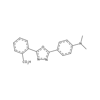 CN(C)c1ccc(-c2nnc(-c3ccccc3C(=O)O)o2)cc1